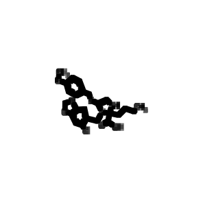 CCCCC1(C(=O)O)NC=C(SCc2ccc(OC)cc2)N1Cc1cc2c(cc1Cl)OCO2